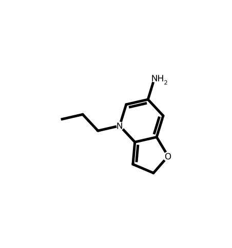 CCCN1C=C(N)C=C2OCC=C21